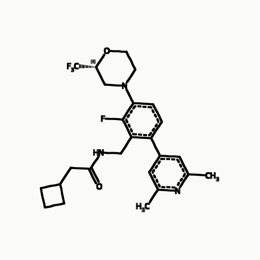 Cc1cc(-c2ccc(N3CCO[C@@H](C(F)(F)F)C3)c(F)c2CNC(=O)CC2CCC2)cc(C)n1